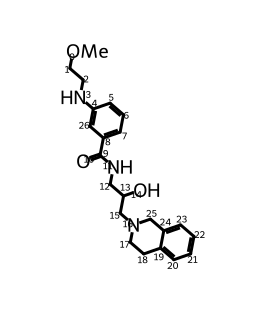 COCCNc1cccc(C(=O)NCC(O)CN2CCc3ccccc3C2)c1